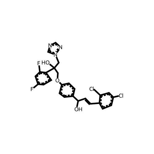 OC(/C=C/c1ccc(Cl)cc1Cl)c1ccc(OCC(O)(Cn2cncn2)c2ccc(F)cc2F)cc1